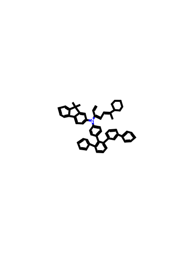 C=C/C(=C\C=C(/C)C1CCCCC1)N(c1ccc(-c2c(-c3ccccc3)cccc2-c2cccc(-c3ccccc3)c2)cc1)c1ccc2c(c1)C(C)(C)c1ccccc1-2